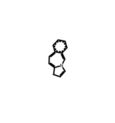 [CH]1C=CN2C=c3ccccc3=CC=C12